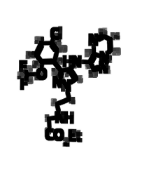 CCOC(=O)CNCCn1cc(Nc2cnn3cccnc23)c(-c2cc(Cl)ccc2OC(F)F)n1